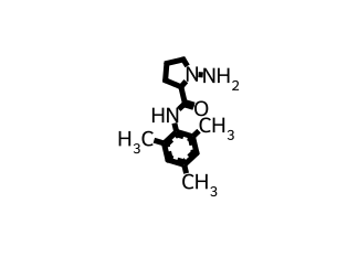 Cc1cc(C)c(NC(=O)C2CCCN2N)c(C)c1